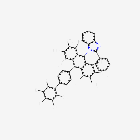 Bc1c(B)c(B)c(-c2ccc(-c3c4c(B)c(B)c(B)c(B)c4c(-n4c(-c5ccccc5)nc5ccccc54)c4c(B)c(B)c(B)c(B)c34)cc2)c(B)c1B